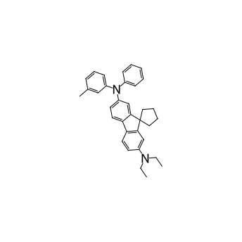 CCN(CC)c1ccc2c(c1)C1(CCCC1)c1cc(N(c3ccccc3)c3cccc(C)c3)ccc1-2